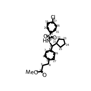 COC(=O)CCc1ccc(C(NS(=O)(=O)c2ccc(Cl)cc2)C2CCCC2)cc1